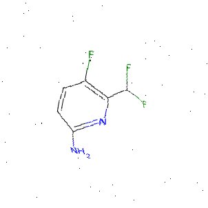 Nc1ccc(F)c(C(F)F)n1